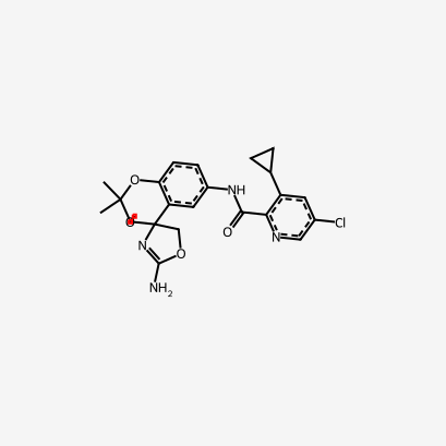 CC1(C)Oc2ccc(NC(=O)c3ncc(Cl)cc3C3CC3)cc2C2(COC(N)=N2)C12COC2